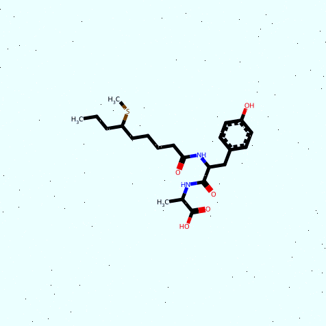 CCCC(CCCCC(=O)NC(Cc1ccc(O)cc1)C(=O)NC(C)C(=O)O)SC